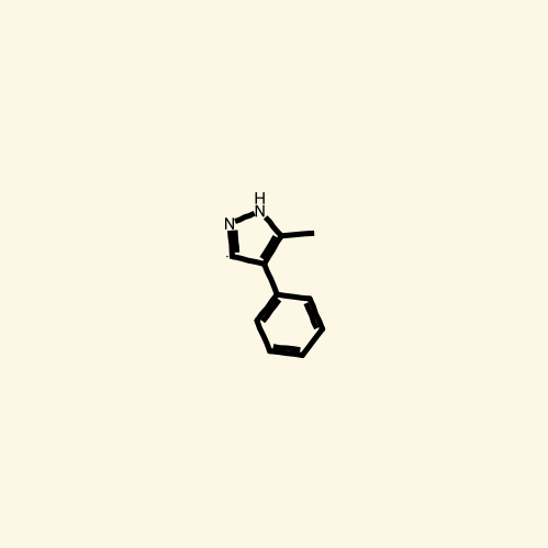 Cc1[nH]n[c]c1-c1ccccc1